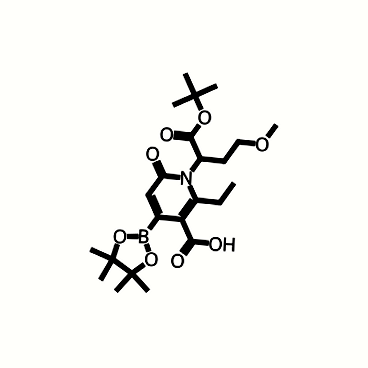 CCc1c(C(=O)O)c(B2OC(C)(C)C(C)(C)O2)cc(=O)n1C(CCOC)C(=O)OC(C)(C)C